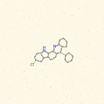 Clc1ccc2[nH]c3c(ccc4c(-c5ccccc5)c5ccccc5nc43)c2c1